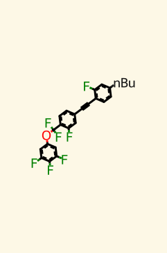 CCCCc1ccc(C#Cc2ccc(C(F)(F)Oc3cc(F)c(F)c(F)c3)c(F)c2)c(F)c1